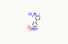 CC(=O)Nc1ccc(-c2ccc(C)c(N)c2)cc1